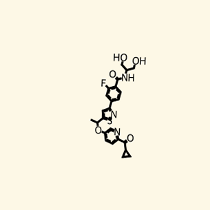 CC(Oc1ccc(C(=O)C2CC2)nc1)c1cc(-c2ccc(C(=O)NC(CO)CO)c(F)c2)ns1